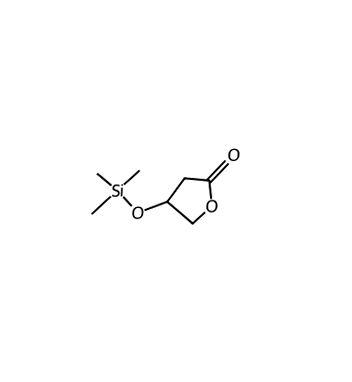 C[Si](C)(C)OC1COC(=O)C1